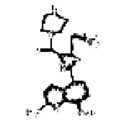 COc1ccc(-c2nc(C(=O)N3CCNCC3)c(CN)o2)c2ccc(C(F)(F)F)nc12